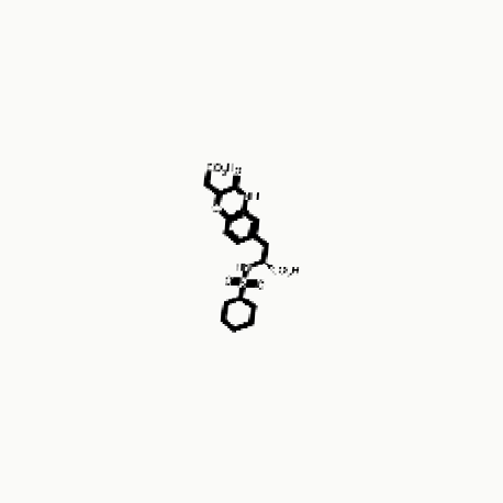 O=C(O)CC1Oc2ccc(C[C@H](NS(=O)(=O)C3CCCCC3)C(=O)O)cc2NC1=O